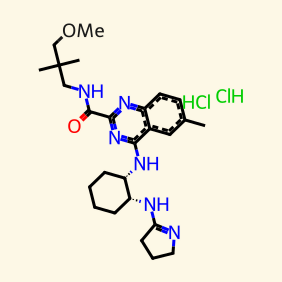 COCC(C)(C)CNC(=O)c1nc(N[C@H]2CCCC[C@H]2NC2=NCCC2)c2cc(C)ccc2n1.Cl.Cl